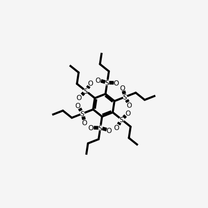 CCCS(=O)(=O)c1c(S(=O)(=O)CCC)c(S(=O)(=O)CCC)c(S(=O)(=O)CCC)c(S(=O)(=O)CCC)c1S(=O)(=O)CCC